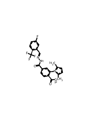 Cc1ccc(C)n1-c1cc(C(=O)N/N=C/c2cc(F)ccc2C(F)(F)F)ccc1C(=O)O